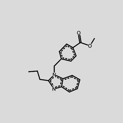 CCCc1nc2ccccc2n1Cc1ccc(C(=O)OC)cc1